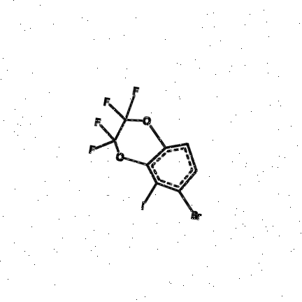 FC1(F)Oc2ccc(Br)c(I)c2OC1(F)F